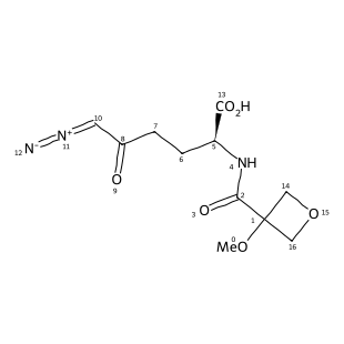 COC1(C(=O)N[C@@H](CCC(=O)C=[N+]=[N-])C(=O)O)COC1